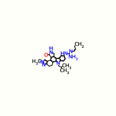 C=C/C=C\N=C(/N)Nc1ccc2c(c1)c1c3c(c4c(c1n2CC(C)C)CCc1nn(C)cc1-4)C(=O)NC3